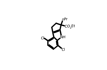 CCCC1(C(=O)OCC)CCc2c1[nH]c1c(Cl)ccc(Cl)c21